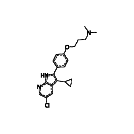 CN(C)CCCOc1ccc(-c2[nH]c3ncc(Cl)cc3c2C2CC2)cc1